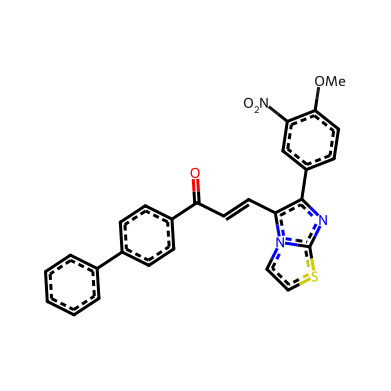 COc1ccc(-c2nc3sccn3c2C=CC(=O)c2ccc(-c3ccccc3)cc2)cc1[N+](=O)[O-]